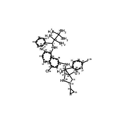 BC(B)(B)C(B)(B)[C@@H](Nc1c(C#N)cnc2c(Cl)cc(NC(B)(c3ccc(F)nc3)C3(C)CN(C4CC4)NN3)cc12)c1ccccc1